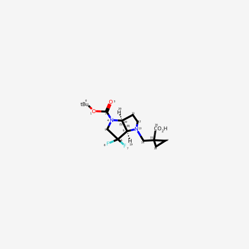 CC(C)(C)OC(=O)N1CC(F)(F)[C@H]2[C@@H]1CCN2CC1(C(=O)O)CC1